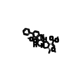 CC[C@@H]1CN2CC[C@@]3(O)C(=Nc4ccc(-c5ccccc5)c(OC)c43)[C@@H]2C[C@@H]1/C(=C\OC)C(=O)OC